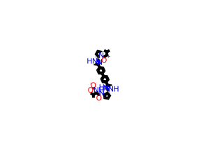 COC(=O)N[C@H](C(=O)N[C@H]1CCC[C@@H]1c1nc(-c2ccc(-c3ccc(-c4c[nH]c([C@@H]5CCCN5C(=O)[C@@H](C)C(C)C)n4)cc3)cc2)c[nH]1)C(C)C